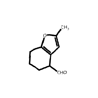 Cc1cc2c(o1)CCCC2C=O